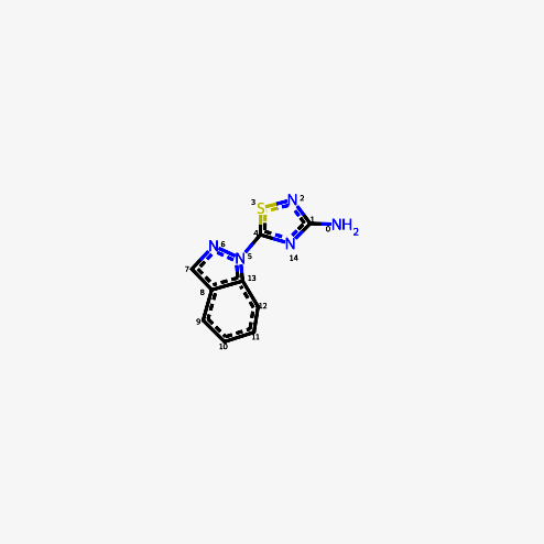 Nc1nsc(-n2ncc3ccccc32)n1